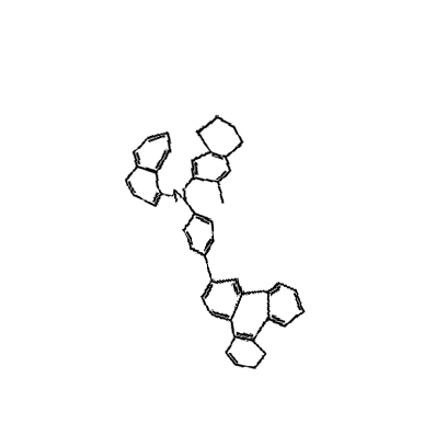 Cc1cc2c(cc1N(c1ccc(-c3ccc4c5c(c6ccccc6c4c3)CCC=C5)cc1)c1cccc3ccccc13)CCCC2